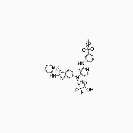 CN(c1ccc2c(c1)nc(Nc1ccccc1)n2C)c1ccnc(Nc2cccc(S(N)(=O)=O)c2)n1.O=C(O)C(F)(F)F